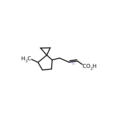 CC1CCC(C/C=C/C(=O)O)C12CC2